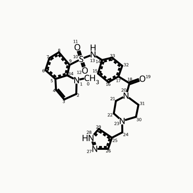 CN1CC=Cc2cccc(S(=O)(=O)Nc3ccc(C(=O)N4CCN(Cc5cn[nH]c5)CC4)cc3)c21